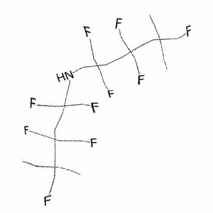 CC(C)(F)C(F)(F)C(F)(F)NC(F)(F)C(F)(F)C(C)(C)F